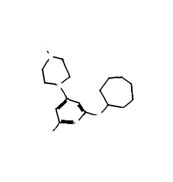 CN1CCN(c2cc(N)nc(NC3CCCCCC3)c2)CC1